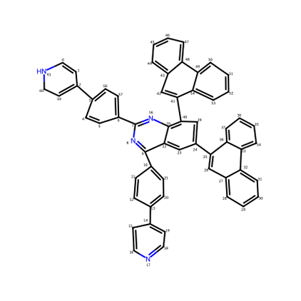 C1=CC(c2ccc(-c3nc(-c4ccc(-c5ccncc5)cc4)c4cc(-c5cc6ccccc6c6ccccc56)cc(-c5cc6ccccc6c6ccccc56)c4n3)cc2)=CCN1